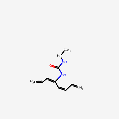 C=C/C=C\C(=C/C=C)NC(=O)NBOC